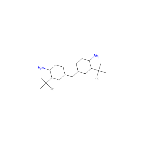 CCC(C)(C)C1CC(CC2CCC(N)C(C(C)(C)CC)C2)CCC1N